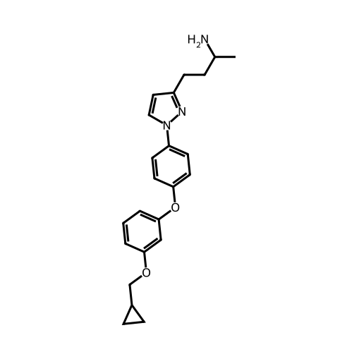 CC(N)CCc1ccn(-c2ccc(Oc3cccc(OCC4CC4)c3)cc2)n1